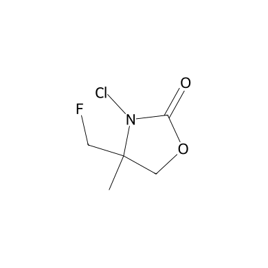 CC1(CF)COC(=O)N1Cl